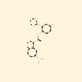 CN(C)c1ccc2onc(C(=O)Nc3ccc(Br)cc3-c3nnn[nH]3)c2c1